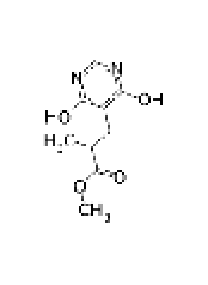 COC(=O)C(C)Cc1c(O)ncnc1O